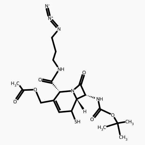 CC(=O)OCC1=CC(S)[C@H]2[C@@H](NC(=O)OC(C)(C)C)C(=O)N2[C@H]1C(=O)NCCCN=[N+]=[N-]